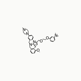 COc1cccc(CN(Cc2cccc(N3CCN(C)CC3)c2)c2nc(COCCOc3cccc(N(C)C)c3)cs2)c1